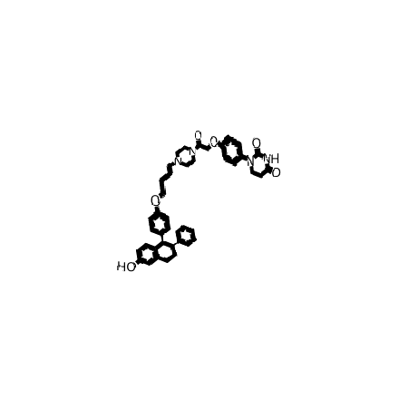 O=C1CCN(c2ccc(OCC(=O)N3CCN(CCCCOc4ccc([C@@H]5c6ccc(O)cc6CC[C@@H]5c5ccccc5)cc4)CC3)cc2)C(=O)N1